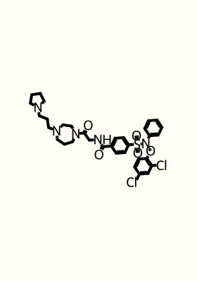 O=C(NCC(=O)N1CCCN(CCCN2CCCC2)CC1)c1ccc(S(=O)(=O)N(Oc2ccc(Cl)cc2Cl)c2ccccc2)cc1